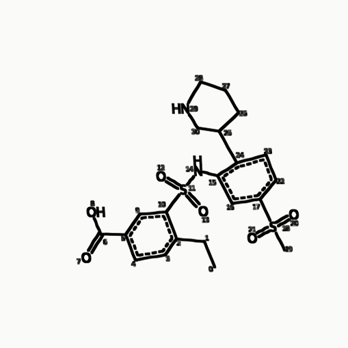 CCc1ccc(C(=O)O)cc1S(=O)(=O)Nc1cc(S(C)(=O)=O)ccc1C1CCCNC1